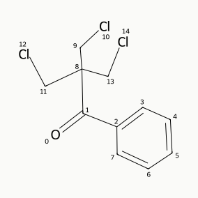 O=C(c1ccccc1)C(CCl)(CCl)CCl